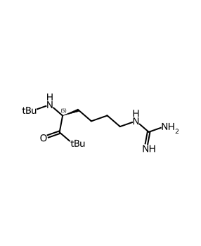 CC(C)(C)N[C@@H](CCCCNC(=N)N)C(=O)C(C)(C)C